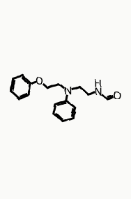 O=CNCCN(CCOc1ccccc1)c1ccccc1